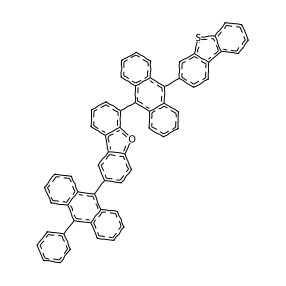 c1ccc(-c2c3ccccc3c(-c3ccc4oc5c(-c6c7ccccc7c(-c7ccc8c(c7)sc7ccccc78)c7ccccc67)cccc5c4c3)c3ccccc23)cc1